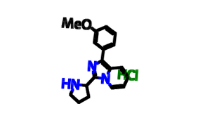 COc1cccc(-c2nc(C3CCCN3)n3ccccc23)c1.Cl